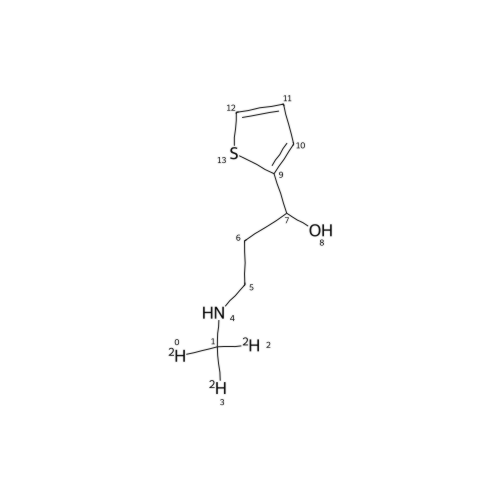 [2H]C([2H])([2H])NCCC(O)c1cccs1